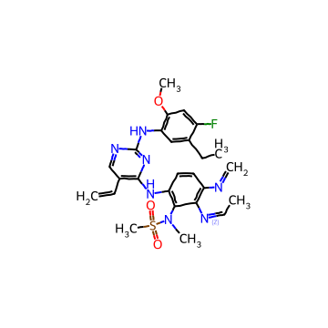 C=Cc1cnc(Nc2cc(CC)c(F)cc2OC)nc1Nc1ccc(N=C)c(/N=C\C)c1N(C)S(C)(=O)=O